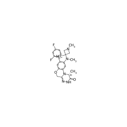 C[C@@H]1C(=O)NN=C2COc3cc(-c4ccc(F)cc4F)c(N(C)C4(C)CN(C)C4)cc3N21